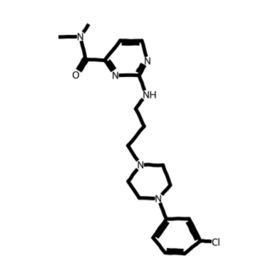 CN(C)C(=O)c1ccnc(NCCCN2CCN(c3cccc(Cl)c3)CC2)n1